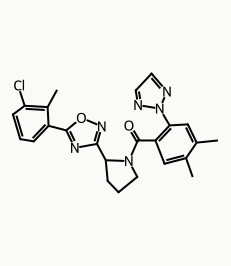 Cc1cc(C(=O)N2CCCC2c2noc(-c3cccc(Cl)c3C)n2)c(-n2nccn2)cc1C